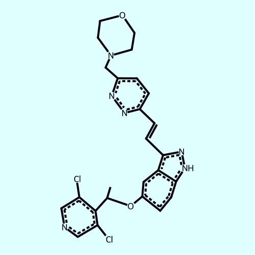 CC(Oc1ccc2[nH]nc(/C=C/c3ccc(CN4CCOCC4)nn3)c2c1)c1c(Cl)cncc1Cl